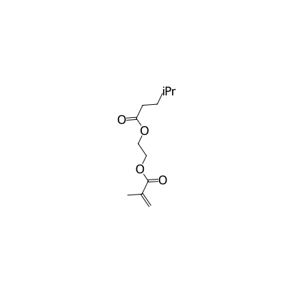 C=C(C)C(=O)OCCOC(=O)CCC(C)C